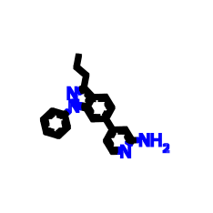 CCCc1nn(-c2ccccc2)c2cc(-c3ccnc(N)c3)ccc12